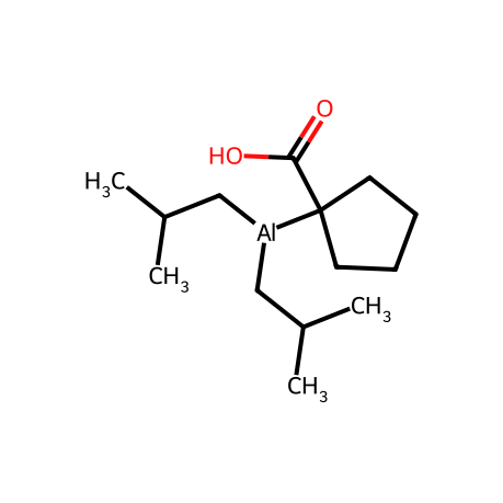 CC(C)[CH2][Al]([CH2]C(C)C)[C]1(C(=O)O)CCCC1